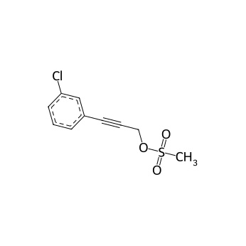 CS(=O)(=O)OCC#Cc1cccc(Cl)c1